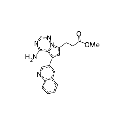 COC(=O)CCc1cc(-c2cnc3ccccc3c2)c2c(N)ncnn12